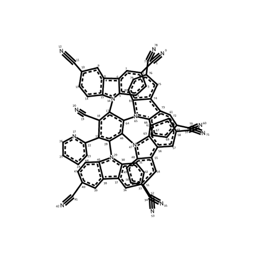 N#Cc1ccc2c(c1)c1cc(C#N)ccc1n2-c1c(C#N)c(-c2ccccn2)c(-n2c3ccc(C#N)cc3c3cc(C#N)ccc32)c(-n2c3ccc(C#N)cc3c3cc(C#N)ccc32)c1-n1c2ccc(C#N)cc2c2cc(C#N)ccc21